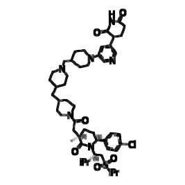 CC(C)[C@@H](CS(=O)(=O)C(C)C)N1C(=O)[C@@](C)(CC(=O)N2CCC(CC3CCN(CC4CCN(c5cncc(C6CCC(=O)NC6=O)c5)CC4)CC3)CC2)CC[C@H]1c1ccc(Cl)cc1